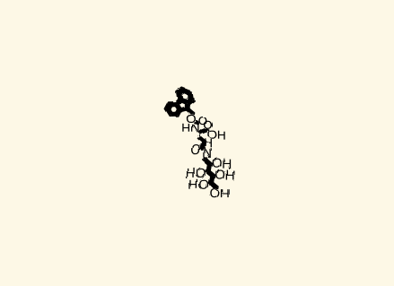 O=C(CC[C@H](NC(=O)OCC1c2ccccc2-c2ccccc21)C(=O)O)NC[C@H](O)[C@@H](O)[C@H](O)[C@H](O)CO